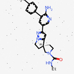 CCNC(=O)N1CC[C@@]2(CCn3nc(-c4cnc(N)c(-c5ccc(C)cc5)c4)cc32)C1